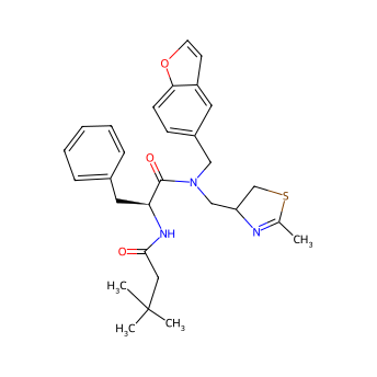 CC1=NC(CN(Cc2ccc3occc3c2)C(=O)[C@H](Cc2ccccc2)NC(=O)CC(C)(C)C)CS1